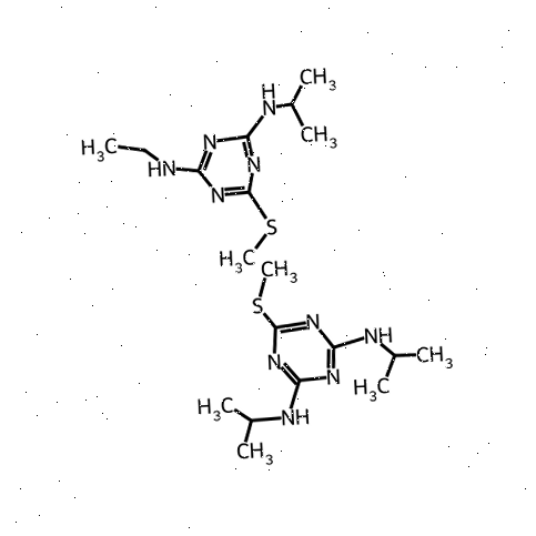 CCNc1nc(NC(C)C)nc(SC)n1.CSc1nc(NC(C)C)nc(NC(C)C)n1